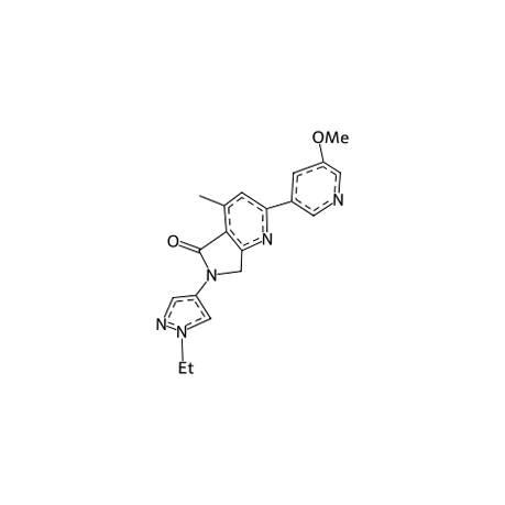 CCn1cc(N2Cc3nc(-c4cncc(OC)c4)cc(C)c3C2=O)cn1